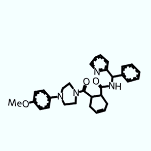 COc1ccc(N2CCN(C(=O)C3CC=CCC3C(=O)NC(c3ccccc3)c3ccccn3)CC2)cc1